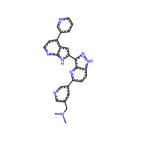 CN(C)Cc1cncc(-c2ccc3[nH]nc(-c4cc5c(-c6cccnc6)ccnc5[nH]4)c3n2)c1